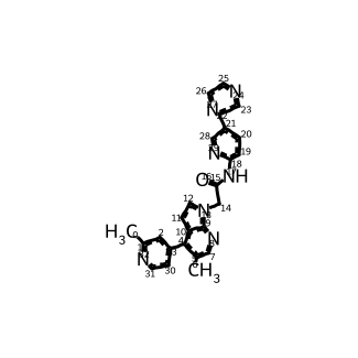 Cc1cc(-c2c(C)cnc3c2ccn3CC(=O)Nc2ccc(-c3cnccn3)cn2)ccn1